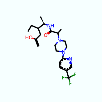 C=C(O)CC(CC)[C@@H](C)NC(=O)C(C)N1CCN(c2ccc(C(F)(F)F)cn2)CC1